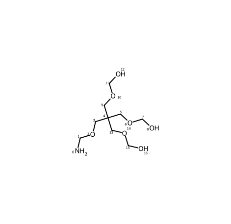 NCOCC(COCO)(COCO)COCO